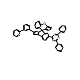 c1ccc(-c2nc(-c3ccccc3)nc(-c3ccc4c(c3)C3(c5ccccc5Oc5ccccc53)c3cc(-c5cccc(-c6ccccn6)c5)ccc3-4)n2)cc1